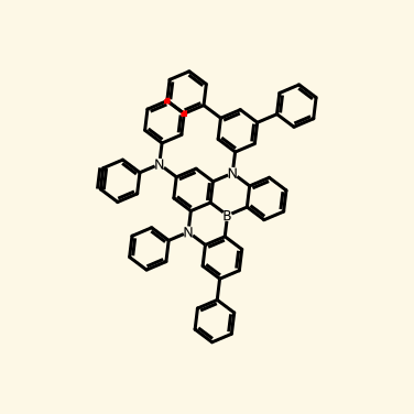 c1ccc(N(c2ccccc2)c2cc3c4c(c2)N(c2ccccc2)c2cc(-c5ccccc5)ccc2B4c2ccccc2N3c2cc(-c3ccccc3)cc(-c3ccccc3)c2)cc#1